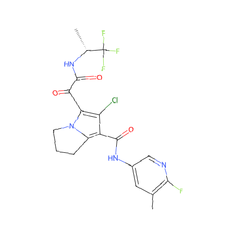 Cc1cc(NC(=O)c2c(Cl)c(C(=O)C(=O)N[C@H](C)C(F)(F)F)n3c2CCC3)cnc1F